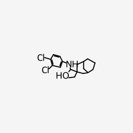 CCC1(C(O)Nc2ccc(Cl)c(Cl)c2)CC2CCCC(C2)C1